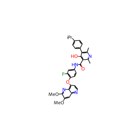 COc1cc2nccc(Oc3ccc(NC(=O)c4c(C)nc(C)c(-c5ccc(C(C)C)cc5)c4O)cc3F)c2nc1OC